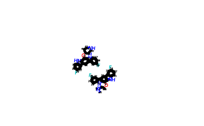 CC(CN(C)C)Oc1c2[nH]c3ccc(F)cc3c2cc2c1[nH]c1ccc(F)cc12.Fc1ccc2[nH]c3c(OC4CCNCC4)c4[nH]c5ccc(F)cc5c4cc3c2c1